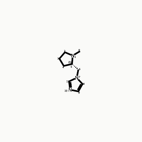 CN1CCC[C@H]1Cn1ccnc1